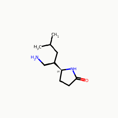 CC(C)CC(CN)[C@@H]1CCC(=O)N1